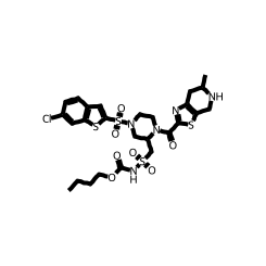 CCCCOC(=O)NS(=O)(=O)CC1CN(S(=O)(=O)c2cc3ccc(Cl)cc3s2)CCN1C(=O)c1nc2c(s1)CNC(C)C2